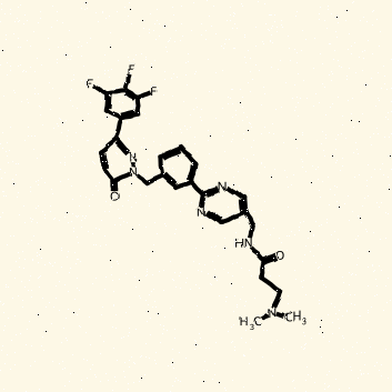 CN(C)CCC(=O)NCc1cnc(-c2cccc(Cn3nc(-c4cc(F)c(F)c(F)c4)ccc3=O)c2)nc1